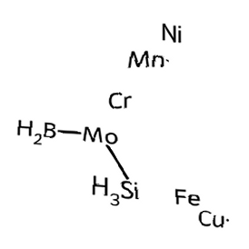 [BH2][Mo][SiH3].[Cr].[Cu].[Fe].[Mn].[Ni]